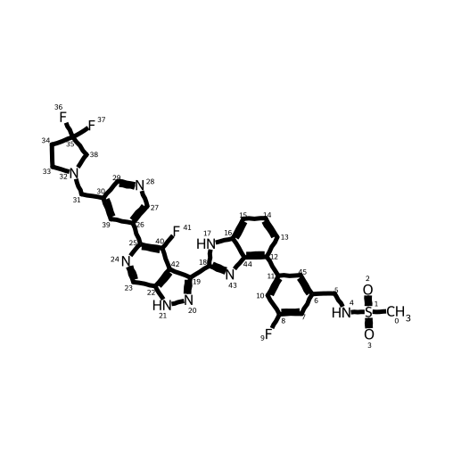 CS(=O)(=O)NCc1cc(F)cc(-c2cccc3[nH]c(-c4n[nH]c5cnc(-c6cncc(CN7CCC(F)(F)C7)c6)c(F)c45)nc23)c1